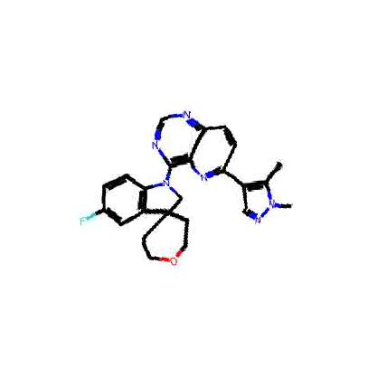 Cc1c(-c2ccc3ncnc(N4CC5(CCOCC5)c5cc(F)ccc54)c3n2)cnn1C